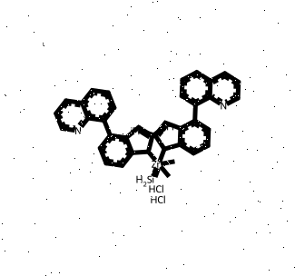 CC(C)C1=Cc2c(-c3cccc4cccnc34)cccc2[CH]1[Zr]([CH3])([CH3])(=[SiH2])[CH]1C(C(C)C)=Cc2c(-c3cccc4cccnc34)cccc21.Cl.Cl